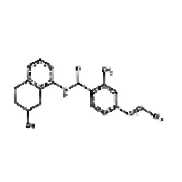 Cc1cc(/C=C/C(F)(F)F)ccc1C(=O)Nc1cccc2c1CC(O)CC2